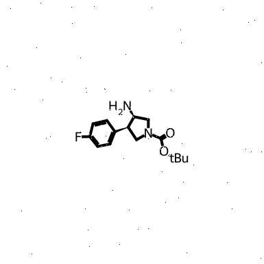 CC(C)(C)OC(=O)N1C[C@H](N)[C@H](c2ccc(F)cc2)C1